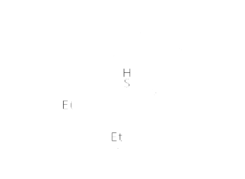 CCC(CC)[SH]1C=CC=C1